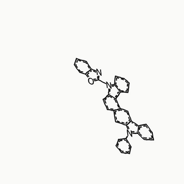 c1ccc(-n2c3ccccc3c3cc4c(ccc5c4c4ccccc4n5-c4nc5ccccc5o4)cc32)cc1